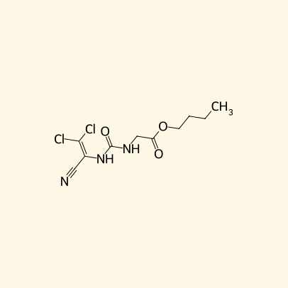 CCCCOC(=O)CNC(=O)NC(C#N)=C(Cl)Cl